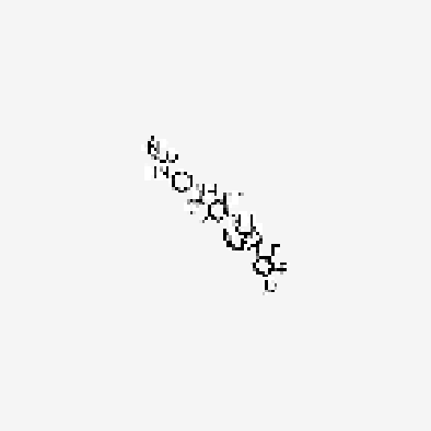 COc1ccc(-c2cnc3c(Nc4ccc(C(=O)N[C@H]5CC[C@@H](NC(=O)C[N+](C)(C)C)CC5)c(C)c4)nccn23)c(F)c1F.[Cl-]